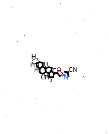 CC1CCC2(C)[C@H](C1)CC(C)C1[C@@H]3CCC(C(=O)Cn4cc(C#N)cn4)C3(C)CC[C@@H]12